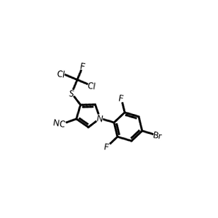 N#Cc1cn(-c2c(F)cc(Br)cc2F)cc1SC(F)(Cl)Cl